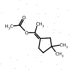 CC(=O)OC(C)=C1CCC(C)(C)C1